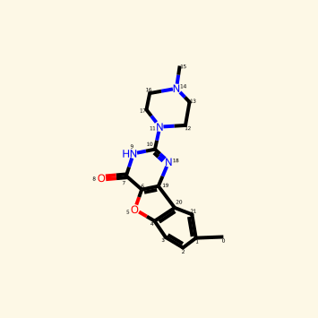 Cc1ccc2oc3c(=O)[nH]c(N4CCN(C)CC4)nc3c2c1